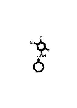 Fc1cc(I)c(NN=C2CCCCCC2)cc1Br